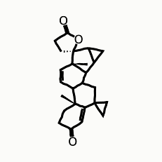 C[C@]12CCC(=O)C=C1C1(CC1)CC1C2C=C[C@@]2(C)C1C1CC1[C@@]21CCC(=O)O1